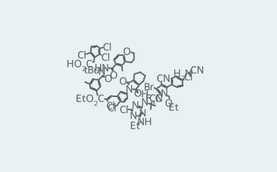 CCNc1nc(Cl)nc(NC(C)(C)C#N)n1.CCOC(=O)/C(Cl)=C/c1cc(N2C(=O)C3=C(CCCC3)C2=O)ccc1Cl.CCOCn1c(-c2ccc(Cl)cc2)c(C#N)c(Br)c1C(F)(F)F.Cc1cc(C)cc(C(=O)N(NC(=O)c2ccc3c(c2C)CCCO3)C(C)(C)C)c1.N#CN.O=C(O)Cc1c(Cl)ccc(Cl)c1Cl